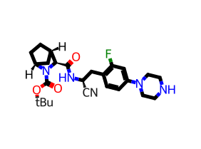 CC(C)(C)OC(=O)N1[C@@H]2CC[C@@H](C2)[C@H]1C(=O)N[C@H](C#N)Cc1ccc(N2CCNCC2)cc1F